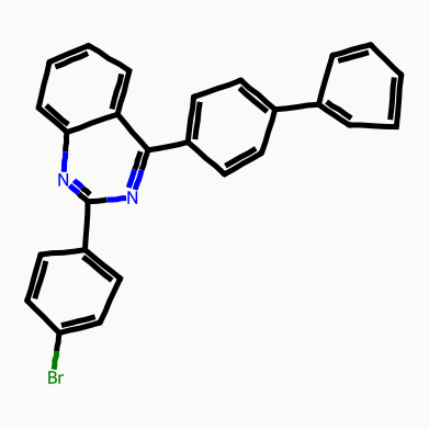 Brc1ccc(-c2nc(-c3ccc(-c4ccccc4)cc3)c3ccccc3n2)cc1